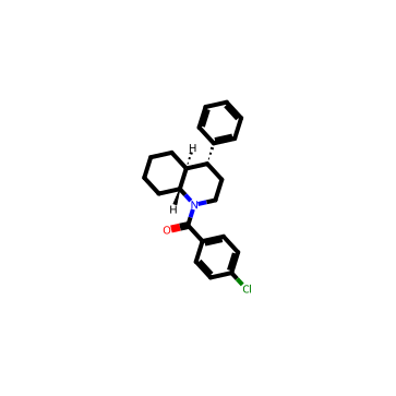 O=C(c1ccc(Cl)cc1)N1CC[C@@H](c2ccccc2)[C@@H]2CCCC[C@H]21